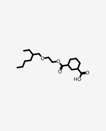 CCCCC(CC)COCCOC(=O)C1CCCC(C(=O)O)C1